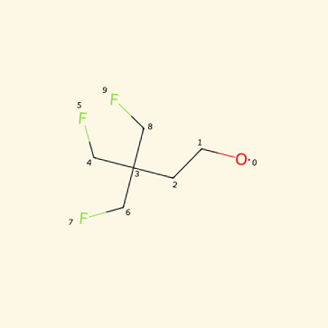 [O]CCC(CF)(CF)CF